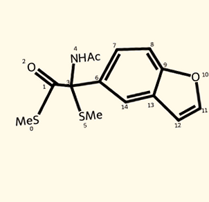 CSC(=O)C(NC(C)=O)(SC)c1ccc2occc2c1